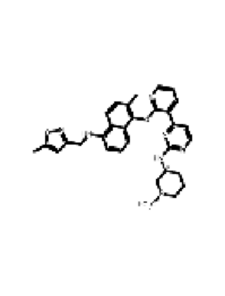 Cc1cc(CNc2cccc3c(Oc4ncccc4-c4ccnc(N[C@H]5CCCN(C(=O)O)C5)n4)c(C)ccc23)no1